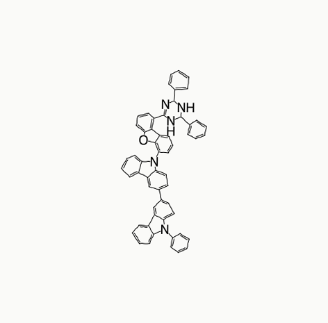 c1ccc(C2N=C(c3cccc4oc5c(-n6c7ccccc7c7cc(-c8ccc9c(c8)c8ccccc8n9-c8ccccc8)ccc76)cccc5c34)NC(c3ccccc3)N2)cc1